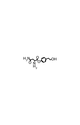 NC(=O)C[C@H](N)C(=O)Oc1ccc(CCO)cc1